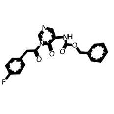 O=C(Nc1cncn(C(=O)Cc2ccc(F)cc2)c1=O)OCc1ccccc1